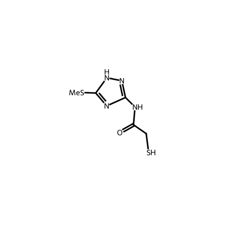 CSc1nc(NC(=O)CS)n[nH]1